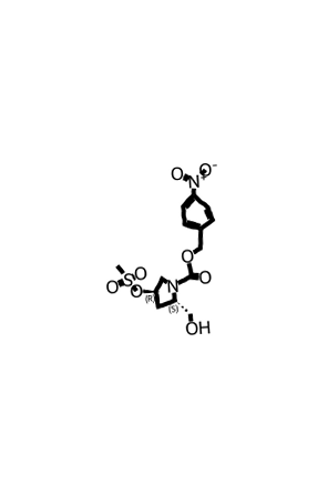 CS(=O)(=O)O[C@@H]1C[C@@H](CO)N(C(=O)OCc2ccc([N+](=O)[O-])cc2)C1